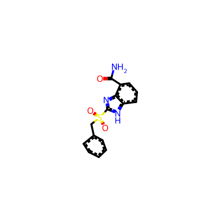 NC(=O)c1cccc2[nH]c(S(=O)(=O)Cc3ccccc3)nc12